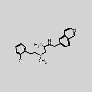 C[C@H](CN(C)CCc1ccccc1Cl)NCc1ccc2cnccc2c1